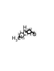 CN1CCC(Nc2ccc([C]=O)cc2)CC1